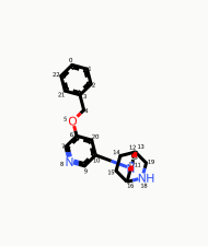 c1ccc(COc2cncc(N3CC4CCC(C3)NC4)c2)cc1